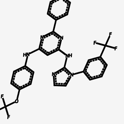 FC(F)(F)Oc1ccc(Nc2cc(Nc3nccn3-c3cccc(C(F)(F)F)c3)nc(-c3ccccc3)n2)cc1